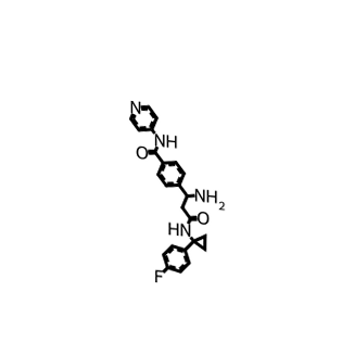 NC(CC(=O)NC1(c2ccc(F)cc2)CC1)c1ccc(C(=O)Nc2ccncc2)cc1